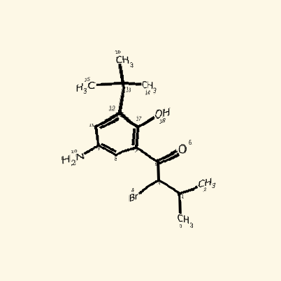 CC(C)C(Br)C(=O)c1cc(N)cc(C(C)(C)C)c1O